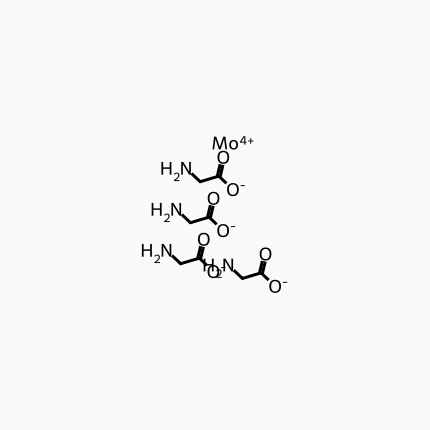 NCC(=O)[O-].NCC(=O)[O-].NCC(=O)[O-].NCC(=O)[O-].[Mo+4]